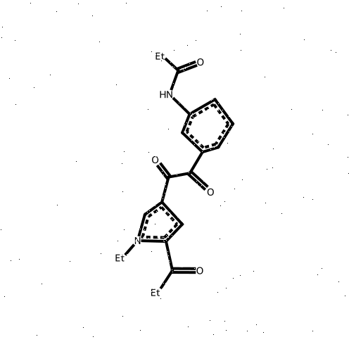 CCC(=O)Nc1cccc(C(=O)C(=O)c2cc(C(=O)CC)n(CC)c2)c1